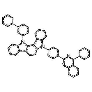 c1ccc(-c2cccc(-n3c4ccccc4c4ccc5c(c6ccccc6n5-c5ccc(-c6nc(-c7ccccc7)c7ccccc7n6)cc5)c43)c2)cc1